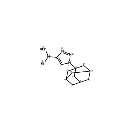 CCCN(CC)c1cn(C23CC4CC(CC(C4)C2)C3)nn1